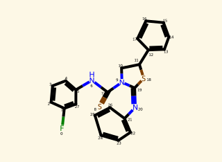 Fc1cccc(NC(=S)N2CC(c3ccccc3)S/C2=N/c2ccccc2)c1